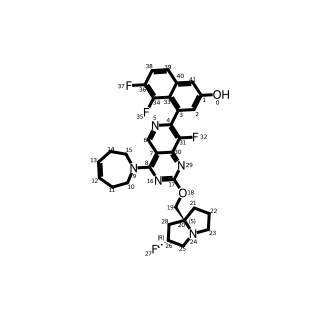 Oc1cc(-c2ncc3c(N4CCC=CCC4)nc(OC[C@@]45CCCN4C[C@H](F)C5)nc3c2F)c2c(F)c(F)ccc2c1